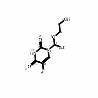 CCC(OCCO)n1cc(F)c(=O)[nH]c1=O